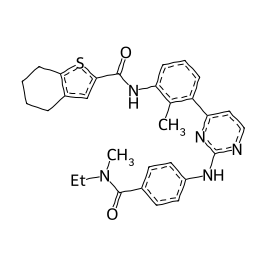 CCN(C)C(=O)c1ccc(Nc2nccc(-c3cccc(NC(=O)c4cc5c(s4)CCCC5)c3C)n2)cc1